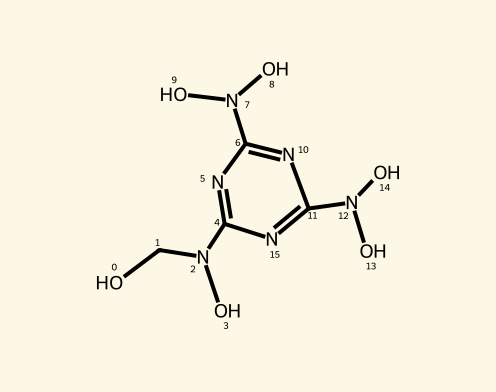 OCN(O)c1nc(N(O)O)nc(N(O)O)n1